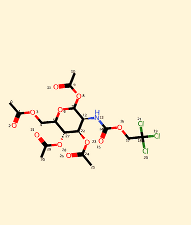 CC(=O)OCC1OC(OC(C)=O)[C@@H](NC(=O)OCC(Cl)(Cl)Cl)[C@@H](OC(C)=O)[C@@H]1OC(C)=O